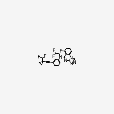 Fc1cccc2c1c(N(CC(F)F)c1cccc(C#CC3(C(F)F)CC3)c1)nc1nncn12